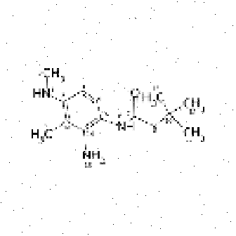 CNc1ccc(NC(=O)CC(C)(C)C)c(N)c1C